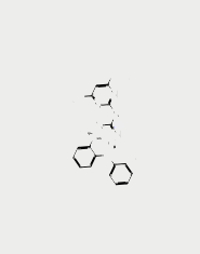 CO/N=C(/Nc1nc(C)cc(C)n1)NS(=O)(=O)c1ccccc1Oc1ccccc1